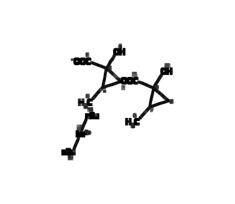 CC1CC1(O)C(=O)[O-].CC1CC1(O)C(=O)[O-].CCC[CH2][Sn+2][CH2]CCC